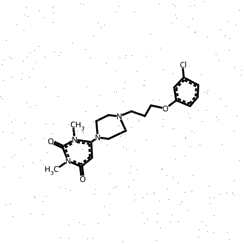 Cn1c(N2CCN(CCCOc3cccc(Cl)c3)CC2)cc(=O)n(C)c1=O